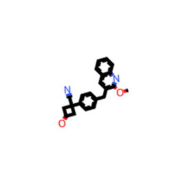 COc1nc2ccccc2cc1Cc1ccc(C2(C#N)CC(=O)C2)cc1